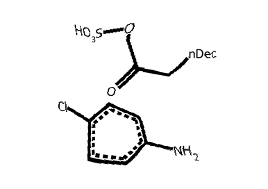 CCCCCCCCCCCC(=O)OS(=O)(=O)O.Nc1ccc(Cl)cc1